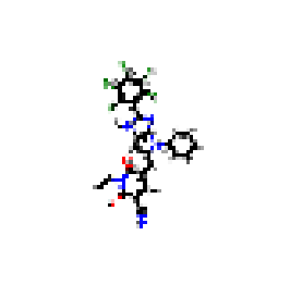 CCN1C(=O)C(C#N)=C(C)/C(=C/c2cc3c(nc(-c4c(F)c(F)c(F)c(F)c4F)n3C)n2-c2ccccc2)C1=O